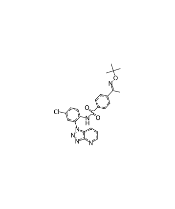 CC(=NOC(C)(C)C)c1ccc(S(=O)(=O)Nc2ccc(Cl)cc2-n2nnc3ncccc32)cc1